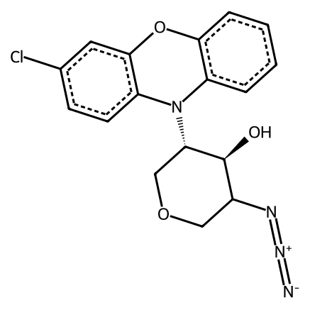 [N-]=[N+]=NC1COC[C@H](N2c3ccccc3Oc3cc(Cl)ccc32)[C@H]1O